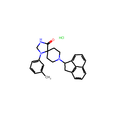 Cc1cccc(N2CNC(=O)C23CCN(C2Cc4cccc5cccc2c45)CC3)c1.Cl